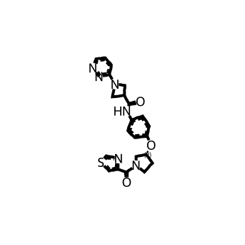 O=C(Nc1ccc(O[C@@H]2CCN(C(=O)c3cscn3)C2)cc1)C1CN(c2cccnn2)C1